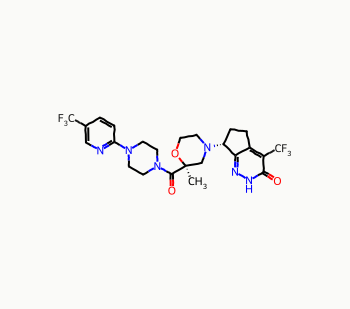 C[C@@]1(C(=O)N2CCN(c3ccc(C(F)(F)F)cn3)CC2)CN([C@@H]2CCc3c2n[nH]c(=O)c3C(F)(F)F)CCO1